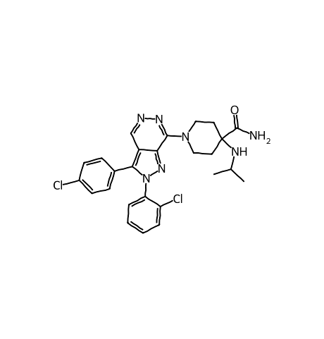 CC(C)NC1(C(N)=O)CCN(c2nncc3c(-c4ccc(Cl)cc4)n(-c4ccccc4Cl)nc23)CC1